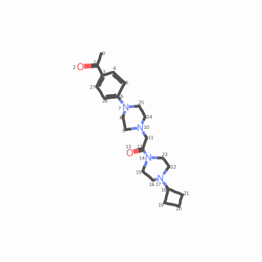 CC(=O)c1ccc(N2CCN(CC(=O)N3CCN(C4CCC4)CC3)CC2)cc1